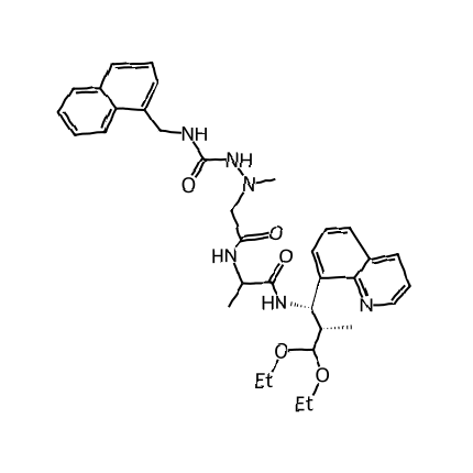 CCOC(OCC)[C@@H](C)[C@H](NC(=O)C(C)NC(=O)CN(C)NC(=O)NCc1cccc2ccccc12)c1cccc2cccnc12